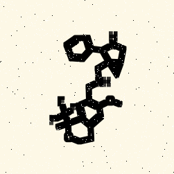 COc1cc2c(cc1CNCC13CC1CNC3c1ccccc1)C(C)(C(F)(F)F)OCC2